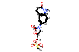 CN1C(=O)CCc2cc(N3C[C@H](COS(C)(=O)=O)OC3=O)ccc21